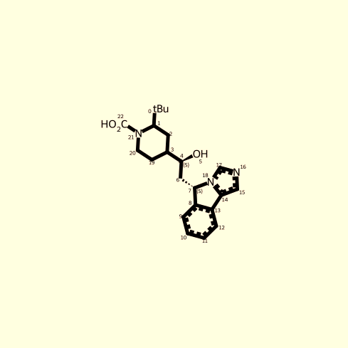 CC(C)(C)C1CC([C@@H](O)C[C@H]2c3ccccc3-c3cncn32)CCN1C(=O)O